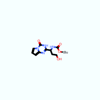 CC(C)(C)OC(=O)NC(CCO)c1nc2cccn2c(=O)[nH]1